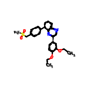 CCOc1ccc(-c2cnc3cccc(-c4ccc(CS(C)(=O)=O)cc4)c3n2)cc1OCC